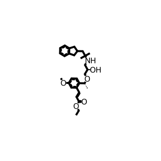 CCOC(=O)/C=C/c1cc(OC)ccc1[C@@H](C)OC[C@H](O)CNC(C)(C)CC1Cc2ccccc2C1